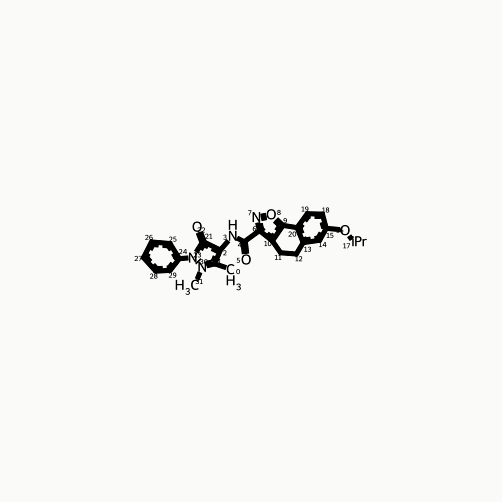 Cc1c(NC(=O)c2noc3c2CCc2cc(OC(C)C)ccc2-3)c(=O)n(-c2ccccc2)n1C